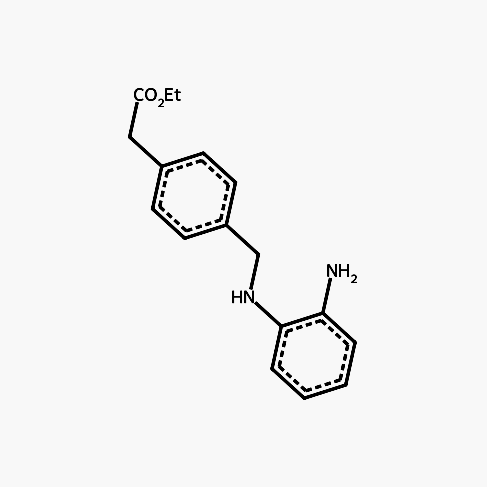 CCOC(=O)Cc1ccc(CNc2ccccc2N)cc1